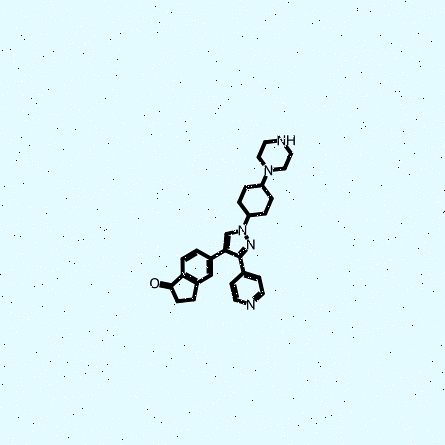 O=C1CCc2cc(-c3cn(C4CCC(N5CCNCC5)CC4)nc3-c3ccncc3)ccc21